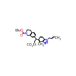 C/C=C/Cn1nnc2c(C)c(C(CC(=O)OCC)c3ccc4c(c3)CN(C(=O)OC(C)(C)C)CC4)ccc21